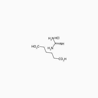 Cl.N=C(N)N.O=C(O)CCCCC(=O)O